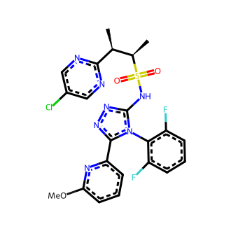 COc1cccc(-c2nnc(NS(=O)(=O)[C@H](C)[C@H](C)c3ncc(Cl)cn3)n2-c2c(F)cccc2F)n1